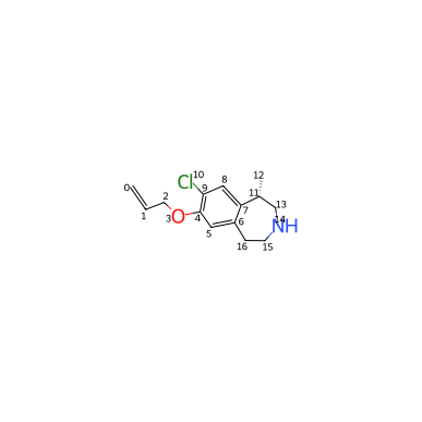 C=CCOc1cc2c(cc1Cl)[C@H](C)CNCC2